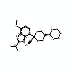 COc1ccc(C2(C#N)CCC(=C3SCCCS3)CC2)c2nc(C(C)C)oc12